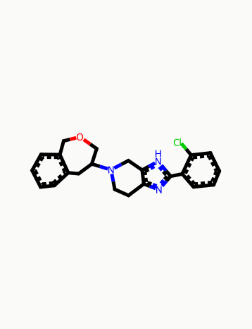 Clc1ccccc1-c1nc2c([nH]1)CN(C1COCc3ccccc3C1)CC2